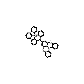 c1ccc([Si]2(c3ccccc3)c3ccccc3N(c3cc4c5c(c3)Sc3ccccc3B5c3ccccc3S4)c3ccccc32)cc1